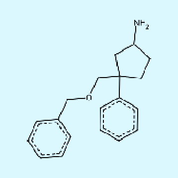 NC1CCC(COCc2ccccc2)(c2ccccc2)C1